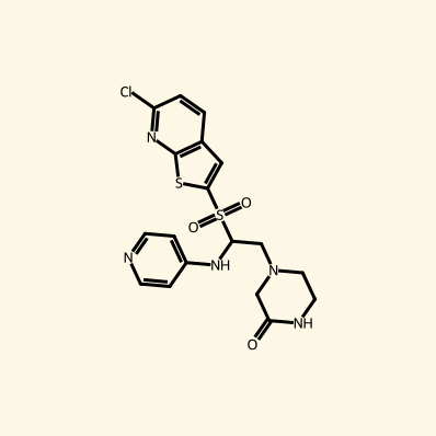 O=C1CN(CC(Nc2ccncc2)S(=O)(=O)c2cc3ccc(Cl)nc3s2)CCN1